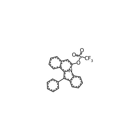 O=S(=O)(Oc1cc2ccccc2c2c(-c3ccccc3)c3ccccc3n12)C(F)(F)F